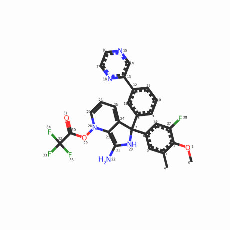 COc1c(C)cc(C2(c3cccc(-c4cnccn4)c3)NC(N)=C3C2=CC=CN3OC(=O)C(F)(F)F)cc1F